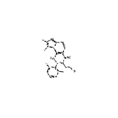 Cc1cccc(C)c1CNc1c(C(=O)NCCO)ccc2nc(C)c(C)n12